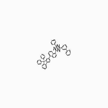 c1ccc(-c2cccc(-c3nc(-c4ccccc4)nc(-c4cccc5c(-c6ccc7c(c6)C(c6ccccc6)(c6ccccc6)c6ccccc6-7)cccc45)n3)c2)cc1